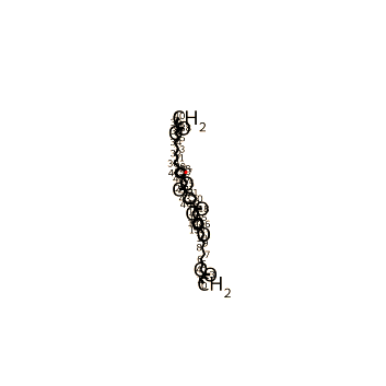 C=CC(=O)OCCCCCCOc1ccc(OC(=O)C2CCC(C(=O)Oc3ccc(CCCCCCOC(=O)C=C)cc3)CC2)cc1